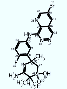 CC1(C)C(N)=N[C@](C)(c2cc(Nc3nncc4cc(Br)cnc34)ccc2F)CS1(O)O